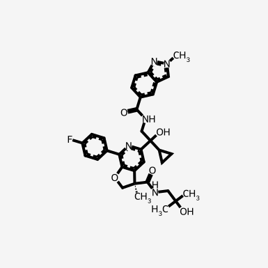 Cn1cc2cc(C(=O)NCC(O)(c3cc4c(c(-c5ccc(F)cc5)n3)OC[C@]4(C)C(=O)NCC(C)(C)O)C3CC3)ccc2n1